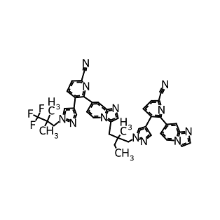 CCC(C)(Cc1cnc2cc(-c3nc(C#N)ccc3-c3cnn(CC(C)(C)C(F)(F)F)c3)ccn12)Cn1cc(-c2ccc(C#N)nc2-c2ccn3ccnc3c2)cn1